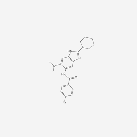 CN(C)c1cc2[nH]c(C3CCCCC3)nc2cc1NC(=O)c1ccc(Br)cc1